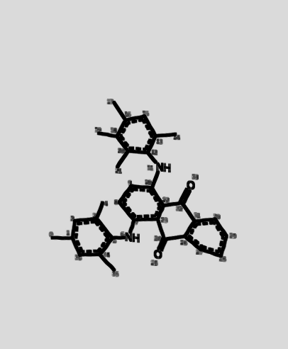 Cc1cc(C)c(Nc2ccc(Nc3c(C)cc(C)c(C)c3C)c3c2C(=O)c2ccccc2C3=O)c(C)c1